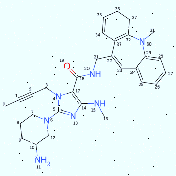 CC#CCn1c(N2CCCC(N)C2)nc(NC)c1C(=O)NCC1=Cc2ccccc2N(C)C2=C1C=CCC2